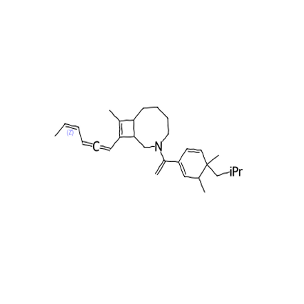 C=C(C1=CC(C)C(C)(CC(C)C)C=C1)N1CCCCC2C(C)=C(C=C=C/C=C\C)C2C1